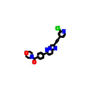 O=C(c1ccc(-c2ccc3nc(C#Cc4ccnc(Cl)c4)cn3n2)cc1)N1CCOCC1